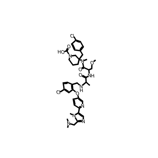 COCC(NC(=O)C(C)NCc1ccc(Cl)cc1Oc1ccc(-c2cnc(CN(C)C)n2C)nc1)C(=O)N(C)C1(Cc2ccc(Cl)cc2)CCCN(C(=O)O)C1